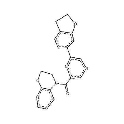 O=C(c1cncc(-c2ccc3c(c2)OCC3)n1)N1CCOc2ccccc21